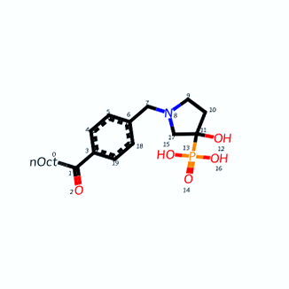 CCCCCCCCC(=O)c1ccc(CN2CCC(O)(P(=O)(O)O)C2)cc1